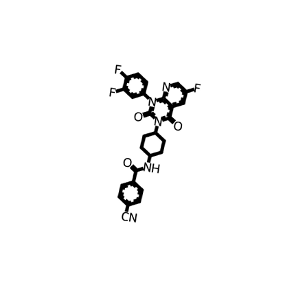 N#Cc1ccc(C(=O)NC2CCC(n3c(=O)c4cc(F)cnc4n(-c4ccc(F)c(F)c4)c3=O)CC2)cc1